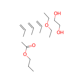 C=CC.C=CC.C=CC.CCCOC(C)=O.CCOCC.OCCO